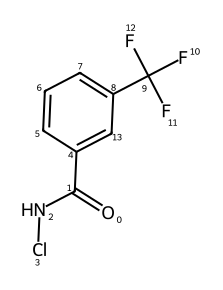 O=C(NCl)c1cccc(C(F)(F)F)c1